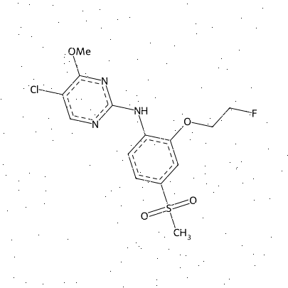 COc1nc(Nc2ccc(S(C)(=O)=O)cc2OCCF)ncc1Cl